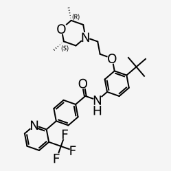 C[C@@H]1CN(CCOc2cc(NC(=O)c3ccc(-c4ncccc4C(F)(F)F)cc3)ccc2C(C)(C)C)C[C@H](C)O1